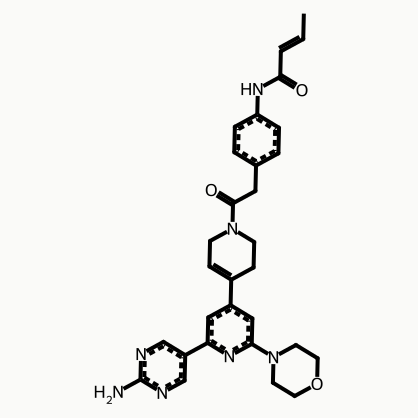 C/C=C/C(=O)Nc1ccc(CC(=O)N2CC=C(c3cc(-c4cnc(N)nc4)nc(N4CCOCC4)c3)CC2)cc1